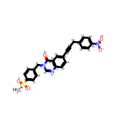 CS(=O)(=O)c1ccc(Cn2cnc3ccc(C#CCc4ccc([N+](=O)[O-])cc4)cc3c2=O)cc1